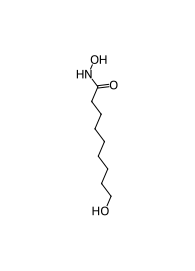 O=C(CCCCCCCCO)NO